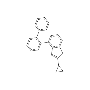 C1=C(C2CC2)Cc2cccc(-c3ccccc3-c3ccccc3)c21